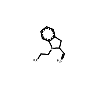 C=CC1Cc2ccccc2N1CCC